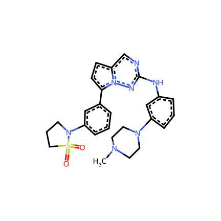 CN1CCN(c2cccc(Nc3ncc4ccc(-c5cccc(N6CCCS6(=O)=O)c5)n4n3)c2)CC1